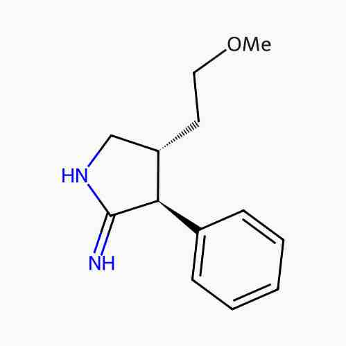 COCC[C@H]1CNC(=N)[C@@H]1c1ccccc1